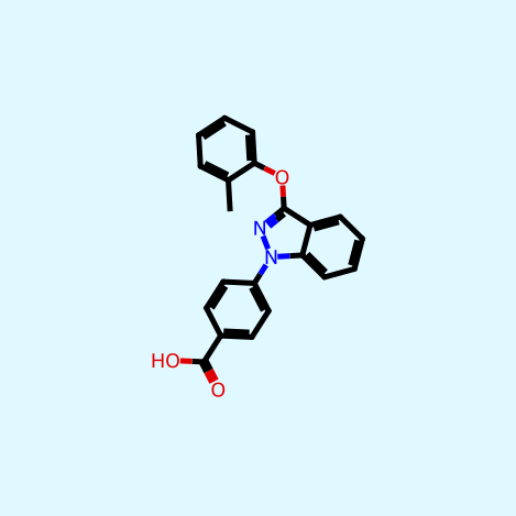 Cc1ccccc1Oc1nn(-c2ccc(C(=O)O)cc2)c2ccccc12